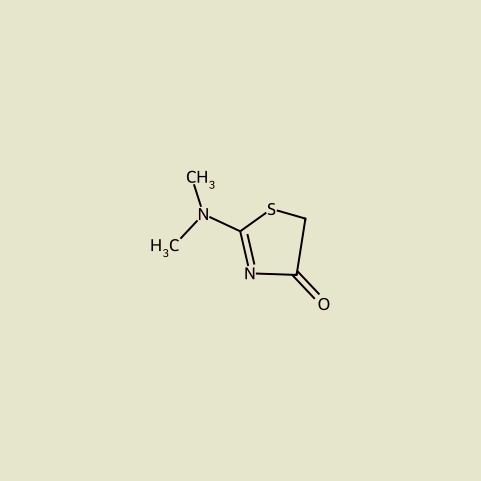 CN(C)C1=NC(=O)CS1